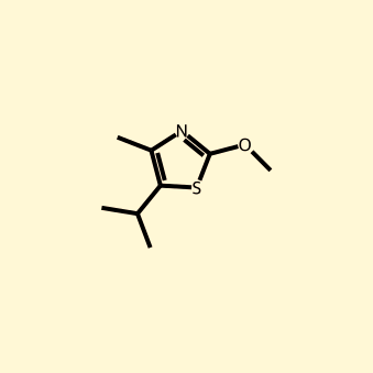 COc1nc(C)c(C(C)C)s1